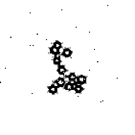 c1ccc(-n2c3cc(-c4ccc(N(c5ccc6c(c5)C5(c7ccccc7-c7ccccc75)c5ccccc5-6)c5ccc6c(c5)sc5ccccc56)cc4)ccc3c3ccc4ccccc4c32)cc1